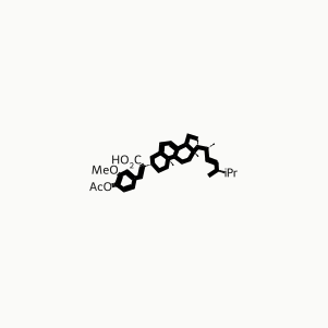 COc1cc(C=C(C(=O)O)[C@H]2CC[C@@]3(C)C(=CC=C4C3CC[C@@]3(C)C4CC[C@@H]3[C@H](C)C=C[C@H](C)C(C)C)C2)ccc1OC(C)=O